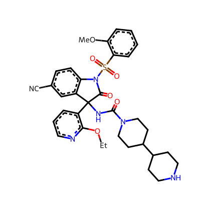 CCOc1ncccc1C1(NC(=O)N2CCC(C3CCNCC3)CC2)C(=O)N(S(=O)(=O)c2ccccc2OC)c2ccc(C#N)cc21